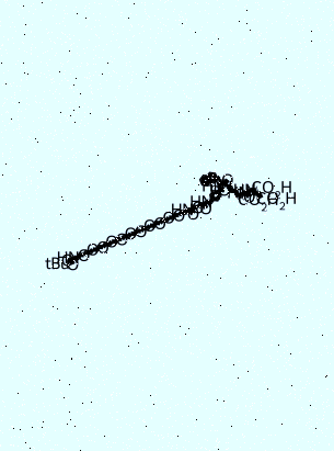 CC(C)(C)OC(=O)NCCOCCOCCOCCOCCOCCOCCOCCOCCOCCOCCOCCNC(=O)COCC(=O)NCC1CCC(C(=O)N[C@@H](Cc2ccc3ccccc3c2)C(=O)NCCCC[C@H](NC(=O)N[C@@H](CCC(=O)O)C(=O)O)C(=O)O)CC1